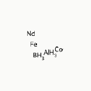 B.[AlH3].[Co].[Fe].[Nd]